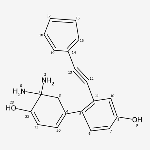 NC1(N)CC(c2ccc(O)cc2C#Cc2ccccc2)=CC=C1O